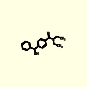 CCN(CC)C(=O)c1ccc(C(O)c2ccccc2)cc1